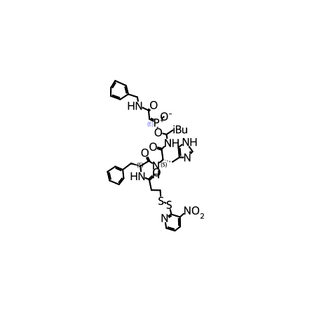 CCC(C)C(NC(=O)[C@H](Cc1c[nH]cn1)NC(=O)[C@H](Cc1ccccc1)NC(=O)CCSSc1ncccc1[N+](=O)[O-])O/[P+]([O-])=C/C(=O)NCc1ccccc1